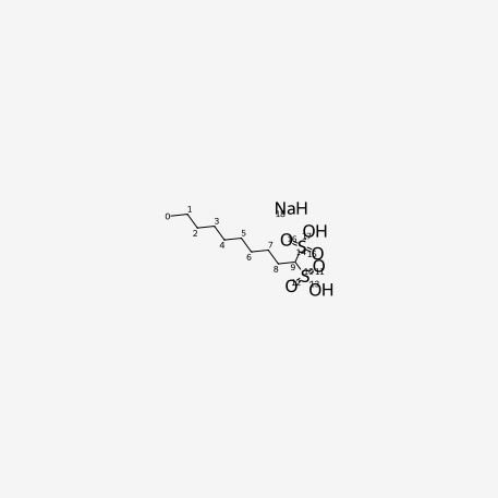 CCCCCCCCCC(S(=O)(=O)O)S(=O)(=O)O.[NaH]